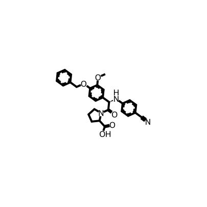 COc1cc([C@H](Nc2ccc(C#N)cc2)C(=O)N2CCCC2C(=O)O)ccc1OCc1ccccc1